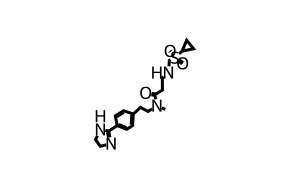 CN(CCc1ccc(C2=NCCN2)cc1)C(=O)CCNCS(=O)(=O)C1CC1